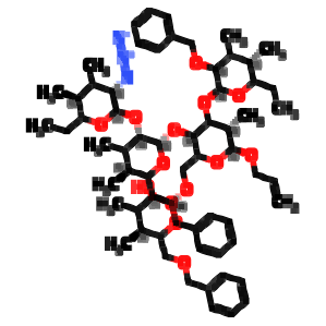 C=CCO[C@H]1OC(CO[C@@H]2OC(COCc3ccccc3)[C@@H](C)C(C)[C@@H]2O)[C@@H](O[C@@H]2OC(COCc3ccccc3)[C@@H](C)C(C)[C@@H]2O[C@H]2OC(CC)[C@@H](C)C(C)[C@@H]2N=[N+]=[N-])C(O[C@@H]2OC(CC)[C@@H](C)C(C)[C@@H]2OCc2ccccc2)[C@@H]1C